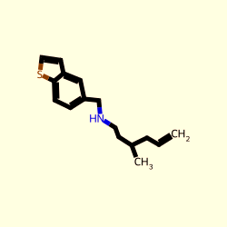 C=CCC(C)CCNCc1ccc2sccc2c1